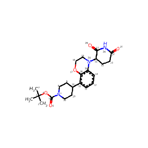 CC(C)(C)OC(=O)N1CCC(c2cccc3c2OCCN3C2CCC(=O)NC2=O)CC1